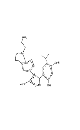 CC(C)c1cc(-c2nnc(S)n2-c2ccc3c(c2)CCN3CCN)c(O)cc1O